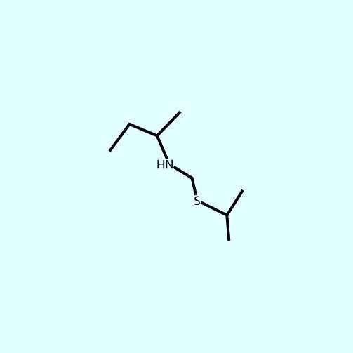 CCC(C)NCSC(C)C